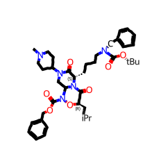 CC(C)C[C@H]1ON(C(=O)OCc2ccccc2)C2CN(C3CCN(C)CC3)C(=O)[C@H](CCCCN(Cc3ccccc3)C(=O)OC(C)(C)C)N2C1=O